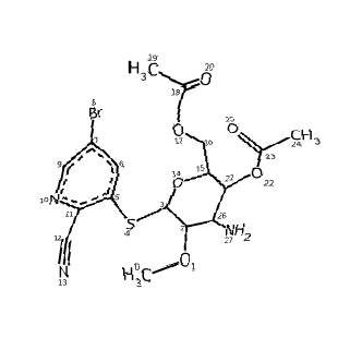 COC1C(Sc2cc(Br)cnc2C#N)OC(COC(C)=O)C(OC(C)=O)C1N